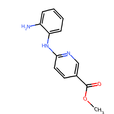 COC(=O)c1ccc(Nc2ccccc2N)nc1